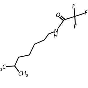 CC(C)CCCCCNC(=O)C(F)(F)F